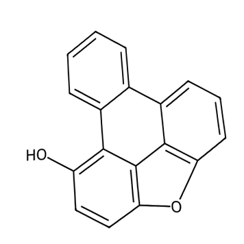 Oc1ccc2oc3cccc4c5ccccc5c1c2c34